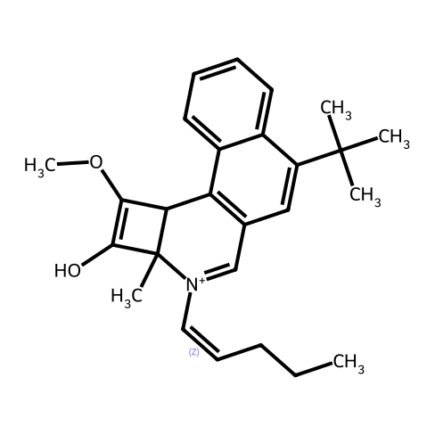 CCC/C=C\[N+]1=Cc2cc(C(C)(C)C)c3ccccc3c2C2C(OC)=C(O)C21C